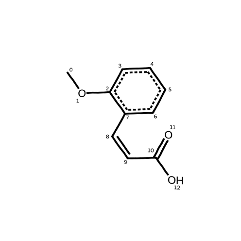 COc1ccccc1/C=C\C(=O)O